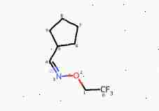 FC(F)(F)CO/N=[C]\C1CCCC1